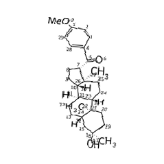 COc1ccc(C(=O)[C@H]2CC[C@H]3[C@@H]4CC[C@H]5C[C@](C)(O)CC[C@]5(C)[C@H]4CC[C@]23C)cc1